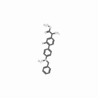 COC(=O)C(C)c1ccc(-c2ccc(N(C)Cc3ccccc3)cc2)c(F)c1